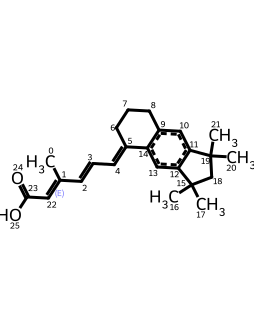 C/C(C=CC=C1CCCc2cc3c(cc21)C(C)(C)CC3(C)C)=C\C(=O)O